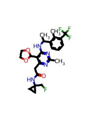 Cc1nc(CC(=O)NC2(CF)CC2)c(C2OCCO2)c(NC(C)c2cccc(C(F)(F)F)c2C)n1